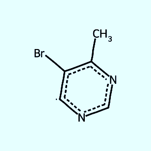 Cc1ncn[c]c1Br